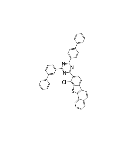 Clc1c(-c2nc(-c3ccc(-c4ccccc4)cc3)nc(-c3cccc(-c4ccccc4)c3)n2)ccc2c1sc1c3ccccc3ccc21